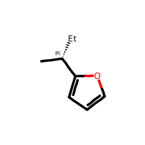 CC[C@@H](C)c1ccco1